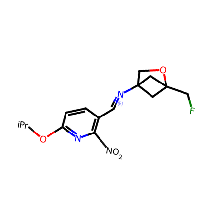 CC(C)Oc1ccc(/C=N/C23COC(CF)(C2)C3)c([N+](=O)[O-])n1